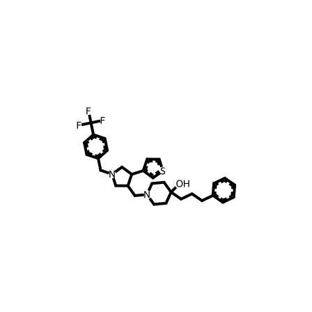 OC1(CCCc2ccccc2)CCN(CC2CN(Cc3ccc(C(F)(F)F)cc3)CC2c2ccsc2)CC1